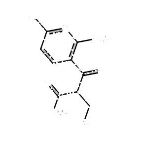 COC(=O)C(CC(C)=O)C(=O)c1ccc(Cl)nc1OC